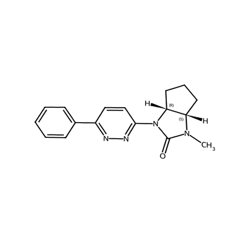 CN1C(=O)N(c2ccc(-c3ccccc3)nn2)[C@@H]2CCC[C@@H]21